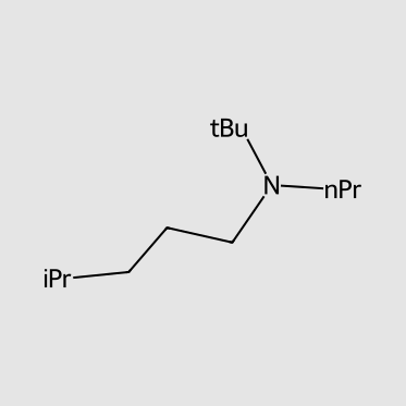 CCCN(CCCC(C)C)C(C)(C)C